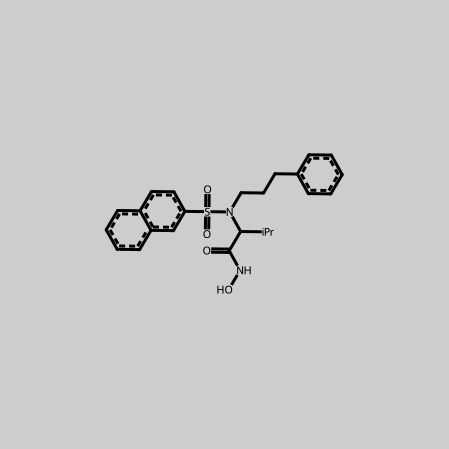 CC(C)C(C(=O)NO)N(CCCc1ccccc1)S(=O)(=O)c1ccc2ccccc2c1